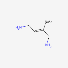 CN/C(=C\CN)CN